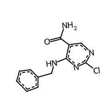 NC(=O)c1cnc(Cl)nc1NCc1ccccc1